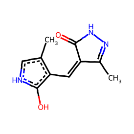 CC1=NNC(=O)C1=Cc1c(C)c[nH]c1O